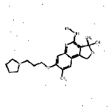 Cc1cc2c3c(c(NC(C)C)nc2cc1OCCCN1CCCC1)C(C)(C)OC3